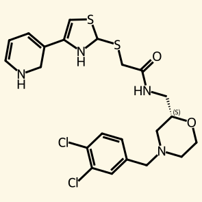 O=C(CSC1NC(C2=CC=CNC2)=CS1)NC[C@H]1CN(Cc2ccc(Cl)c(Cl)c2)CCO1